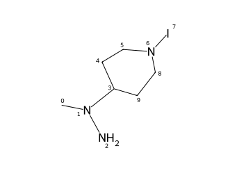 CN(N)C1CCN(I)CC1